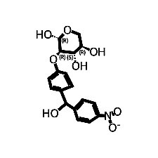 O=[N+]([O-])c1ccc(C(O)c2ccc(O[C@@H]3[C@@H](O)[C@H](O)CO[C@H]3O)cc2)cc1